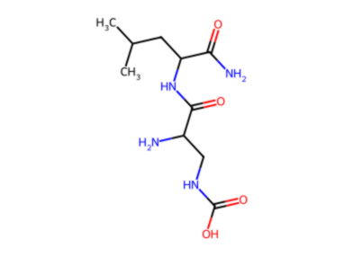 CC(C)CC(NC(=O)C(N)CNC(=O)O)C(N)=O